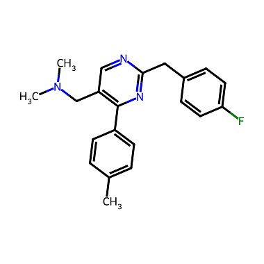 Cc1ccc(-c2nc(Cc3ccc(F)cc3)ncc2CN(C)C)cc1